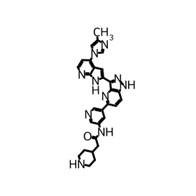 Cc1cn(-c2ccnc3[nH]c(-c4n[nH]c5ccc(-c6cncc(NC(=O)CC7CCNCC7)c6)nc45)cc23)cn1